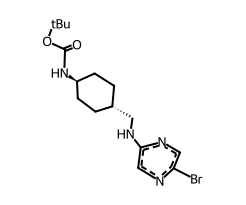 CC(C)(C)OC(=O)N[C@H]1CC[C@H](CNc2cnc(Br)cn2)CC1